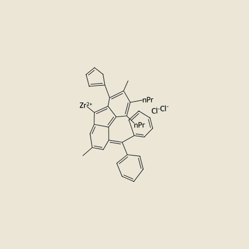 CCCc1c(C)c(C2=CC=CC2)c2c(c1CCC)=c1c(cc(C)cc1=C(c1ccccc1)c1ccccc1)[C]=2[Zr+2].[Cl-].[Cl-]